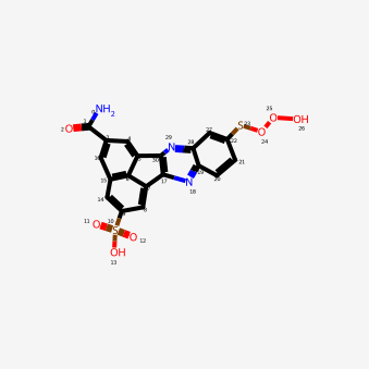 NC(=O)c1cc2c3c(cc(S(=O)(=O)O)cc3c1)-c1nc3ccc(SOOO)cc3nc1-2